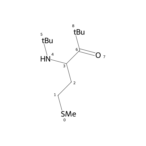 CSCCC(NC(C)(C)C)C(=O)C(C)(C)C